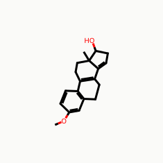 COc1ccc2c(c1)CCC1=C2CCC2(C)C1=CCC2O